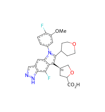 COc1cc(-n2c(C3CCOCC3)c([C@H]3COC(C(=O)O)C3)c3c(F)c4[nH]ncc4cc32)ccc1F